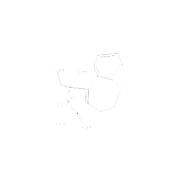 CCC(C)(C)C1=C(C(C)(C)C)CCOc2ccccc21